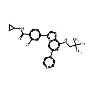 CC(C)(O)CNc1nc(-c2ccncc2)cn2c(-c3ccc(C(=O)NC4CC4)c(Cl)c3)cnc12